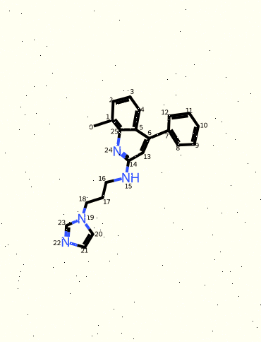 Cc1cccc2c(-c3ccccc3)cc(NCCCn3ccnc3)nc12